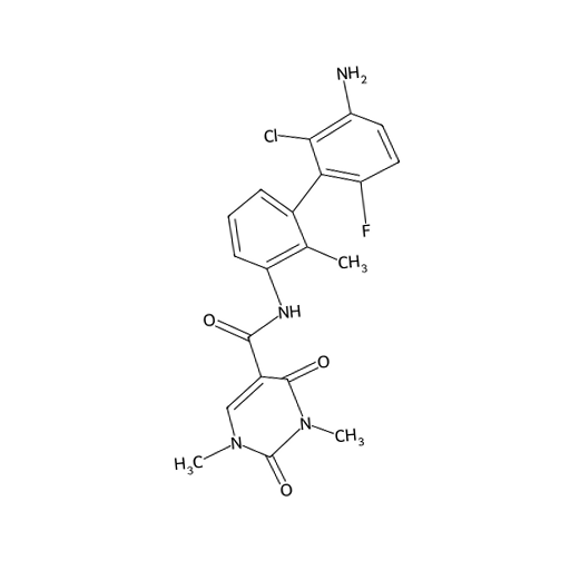 Cc1c(NC(=O)c2cn(C)c(=O)n(C)c2=O)cccc1-c1c(F)ccc(N)c1Cl